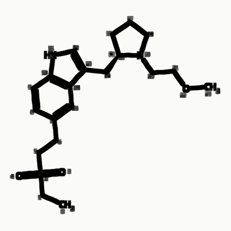 CCS(=O)(=O)CCc1ccc2[nH]cc(C[C@H]3CCCN3CCOC)c2c1